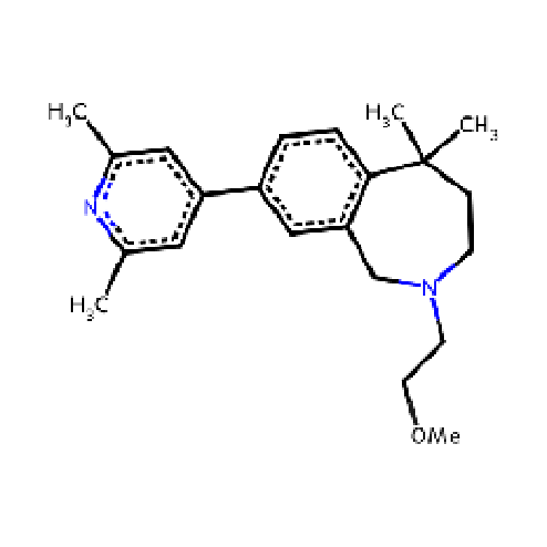 COCCN1CCC(C)(C)c2ccc(-c3cc(C)nc(C)c3)cc2C1